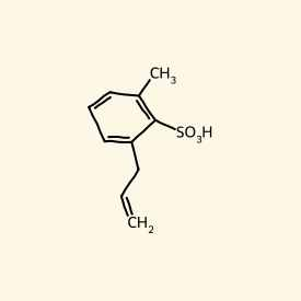 C=CCc1cccc(C)c1S(=O)(=O)O